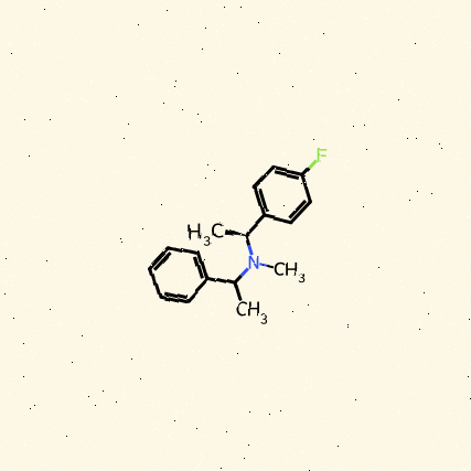 CC(c1ccccc1)N(C)[C@@H](C)c1ccc(F)cc1